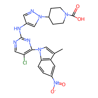 Cc1cn(-c2nc(Nc3cnn(C4CCN(C(=O)O)CC4)c3)ncc2Cl)c2ccc([N+](=O)[O-])cc12